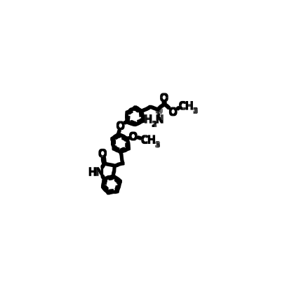 COC(=O)[C@H](N)Cc1ccc(Oc2ccc(CC3C(=O)Nc4ccccc43)cc2OC)cc1